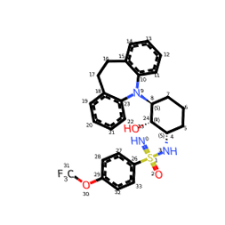 N=S(=O)(N[C@H]1CCC[C@H](N2c3ccccc3CCc3ccccc32)[C@H]1O)c1ccc(OC(F)(F)F)cc1